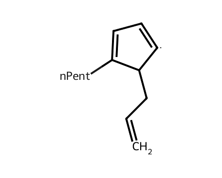 C=CCC1[C]=CC=C1CCCCC